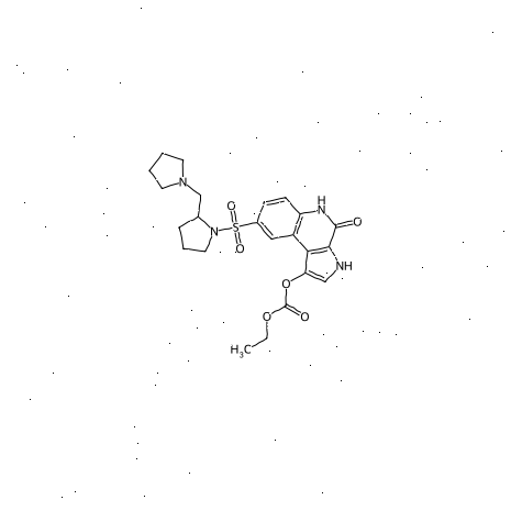 CCOC(=O)Oc1c[nH]c2c(=O)[nH]c3ccc(S(=O)(=O)N4CCCC4CN4CCCC4)cc3c12